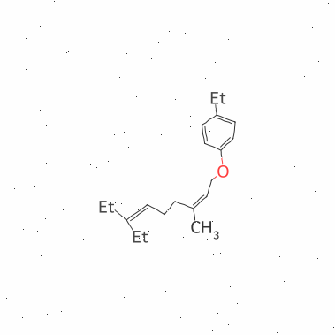 CCC(=CCCC(C)=CCOc1ccc(CC)cc1)CC